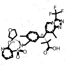 Cc1ccc([C@H](c2ccn3c(C(F)(F)F)nnc3c2C)C(C)(C)C(=O)O)cc1CN1C[C@]2(CCOC2)Oc2ncccc2S1(=O)=O